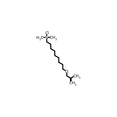 C=C(C)COCCCCCCCCC[Si](C)(C)Cl